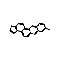 Cc1ccc2cc3c(ccc4c5ccsc5ccc34)cc2c1